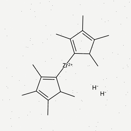 CC1=C(C)C(C)[C]([Zr+2][C]2=C(C)C(C)=C(C)C2C)=C1C.[H-].[H-]